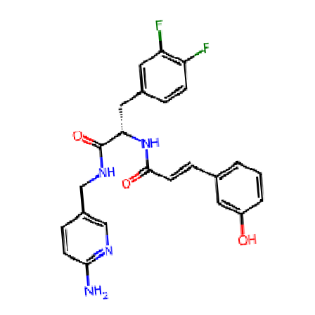 Nc1ccc(CNC(=O)[C@H](Cc2ccc(F)c(F)c2)NC(=O)/C=C/c2cccc(O)c2)cn1